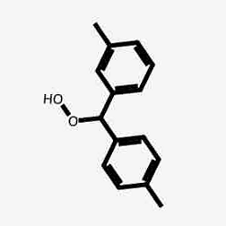 Cc1ccc(C(OO)c2cccc(C)c2)cc1